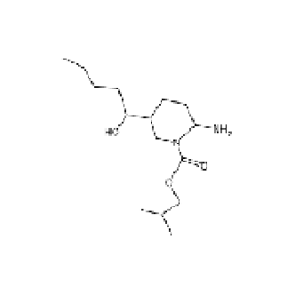 CCCCC(O)C1CCC(N)N(C(=O)OCC(C)C)C1